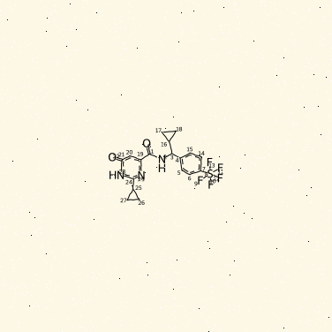 O=C(NC(c1ccc(S(F)(F)(F)(F)F)cc1)C1CC1)c1cc(=O)[nH]c(C2CC2)n1